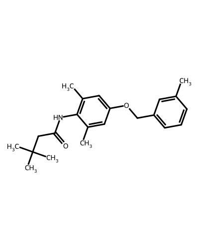 Cc1cccc(COc2cc(C)c(NC(=O)CC(C)(C)C)c(C)c2)c1